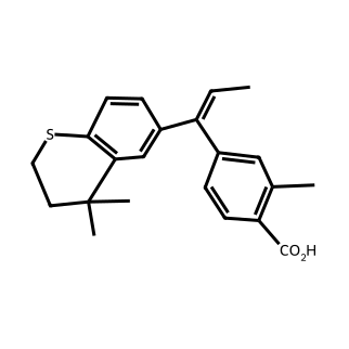 C/C=C(\c1ccc(C(=O)O)c(C)c1)c1ccc2c(c1)C(C)(C)CCS2